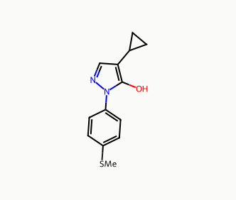 CSc1ccc(-n2ncc(C3CC3)c2O)cc1